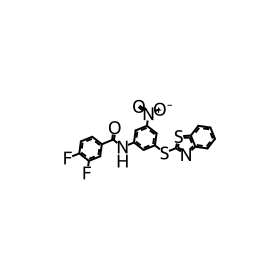 O=C(Nc1cc(Sc2nc3ccccc3s2)cc([N+](=O)[O-])c1)c1ccc(F)c(F)c1